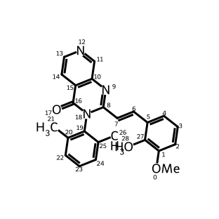 COc1cccc(/C=C/c2nc3cnccc3c(=O)n2-c2c(C)cccc2C)c1O